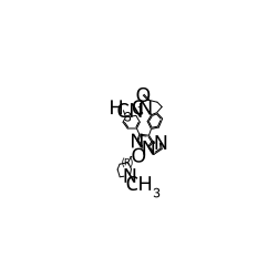 CN1CCC[C@@H](COc2nc(C3=CCC(C#N)C=C3)c(-c3ccc4c(c3)N(C)C(=O)CC4)c3nccn23)C1